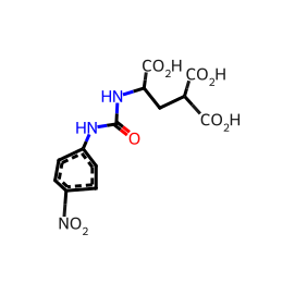 O=C(Nc1ccc([N+](=O)[O-])cc1)NC(CC(C(=O)O)C(=O)O)C(=O)O